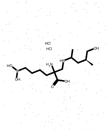 CC(C[C@H](C)CO)NCC(N)(CCCCB(O)O)C(=O)O.Cl.Cl